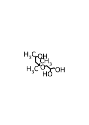 CC(O)CC(C)(C)OCC(O)CO